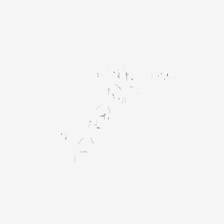 CCCn1c(=O)n(CCOC)c(=O)c2[nH]c(-c3ccc(N(CCCN4CCCCC4)C(=O)c4ccc(F)c(F)c4)nc3)nc21